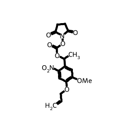 C=CCOc1cc([N+](=O)[O-])c(C(C)OC(=O)ON2C(=O)CCC2=O)cc1OC